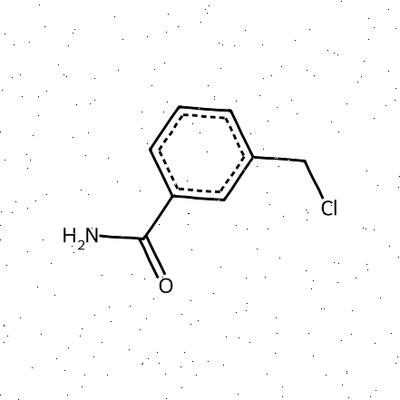 NC(=O)c1cccc(CCl)c1